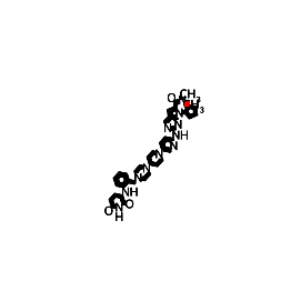 CN(C)C(=O)c1cc2cnc(Nc3ccc(N4CCC(N5CCN(Cc6ccccc6NC6CCC(=O)NC6=O)CC5)CC4)cn3)nc2n1C1CCCC1